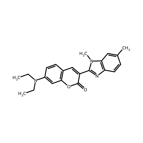 CCN(CC)c1ccc2cc(-c3nc4ccc(C)cc4n3C)c(=O)oc2c1